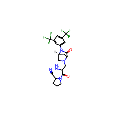 N#CC1CCCN1C(=O)C(N)CN1C[C@@H]2CC1C(=O)N2c1cc(C(F)(F)F)cc(C(F)(F)F)c1